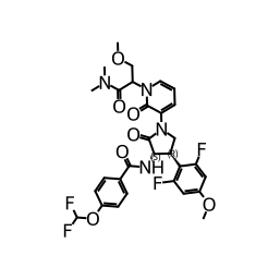 COCC(C(=O)N(C)C)n1cccc(N2C[C@@H](c3c(F)cc(OC)cc3F)[C@H](NC(=O)c3ccc(OC(F)F)cc3)C2=O)c1=O